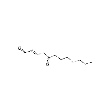 CCCCCCCC(=O)CC=CC=O